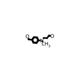 CN(CCC=O)c1ccc(C=O)cc1